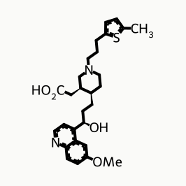 COc1ccc2nccc([C@H](O)CC[C@@H]3CCN(CCCc4ccc(C)s4)C[C@@H]3CC(=O)O)c2c1